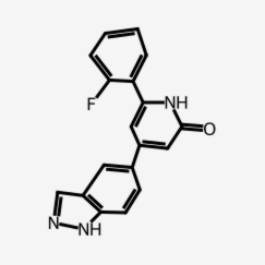 O=c1cc(-c2ccc3[nH]ncc3c2)cc(-c2ccccc2F)[nH]1